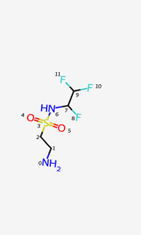 NCCS(=O)(=O)NC(F)C(F)F